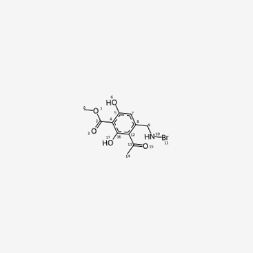 COC(=O)c1c(O)cc(CNBr)c(C(C)=O)c1O